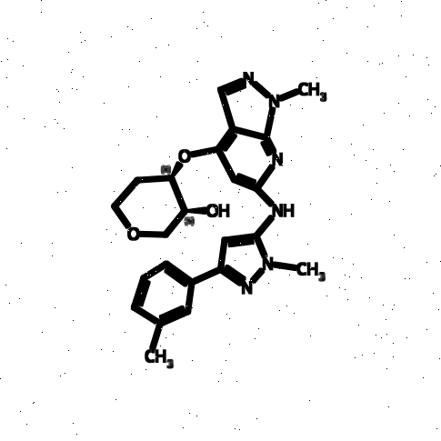 Cc1cccc(-c2cc(Nc3cc(O[C@@H]4CCOC[C@@H]4O)c4cnn(C)c4n3)n(C)n2)c1